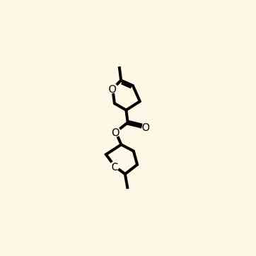 CC1=CCC(C(=O)OC2CCC(C)CC2)CO1